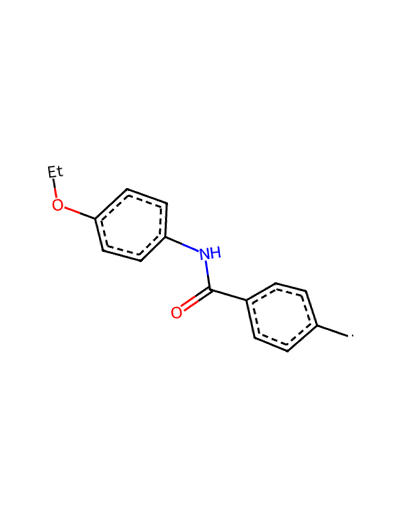 [CH2]c1ccc(C(=O)Nc2ccc(OCC)cc2)cc1